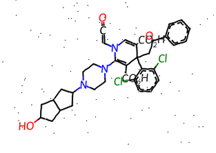 O=C=CN1C=C(C(=O)O)C(CC(=O)c2ccccc2)(c2c(Cl)cccc2Cl)C(C(=O)O)=C1N1CCN(C2CC3CC(O)CC3C2)CC1